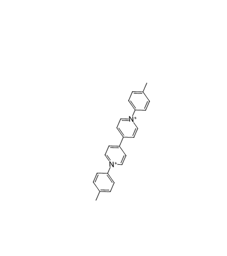 Cc1ccc(-[n+]2ccc(-c3cc[n+](-c4ccc(C)cc4)cc3)cc2)cc1